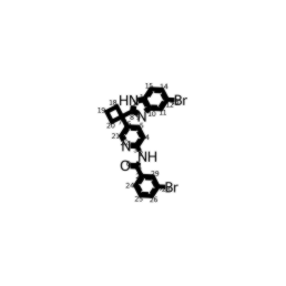 O=C(Nc1ccc(C2(c3nc4cc(Br)ccc4[nH]3)CCC2)cn1)c1cccc(Br)c1